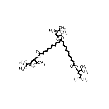 CC(C)CCC(COC(=O)CCCCCCCCCC1(CCCCCCCCCC(=O)OCC(CCC(C)C)C(C)C)OCC(CN(C)C(C)C)O1)C(C)C